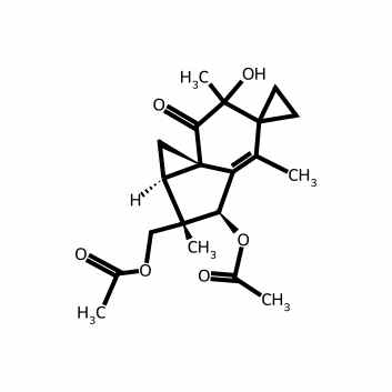 CC(=O)OC[C@@]1(C)[C@H](OC(C)=O)C2=C(C)C3(CC3)C(C)(O)C(=O)[C@]23C[C@@H]31